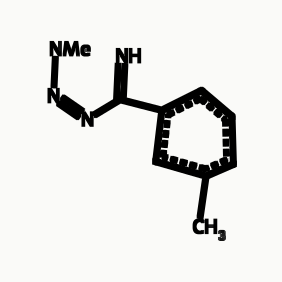 CN/N=N\C(=N)c1cccc(C)c1